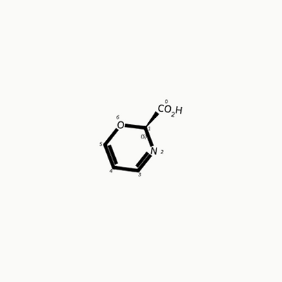 O=C(O)[C@H]1N=CC=CO1